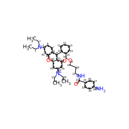 CCN(CC)c1ccc2c(-c3ccccc3C(=O)OCCCNC(=O)c3ccc(N)cc3)c3ccc(=[N+](CC)CC)cc-3oc2c1